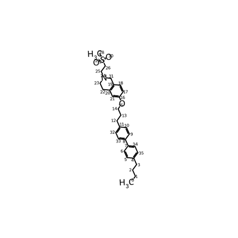 CCCCc1ccc(-c2ccc(CCCOc3ccc4c(c3)CCN(CCS(C)(=O)=O)C4)cc2)cc1